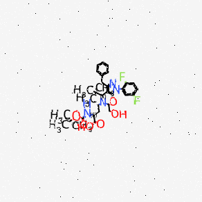 CC(C)(C)OC(=O)N[C@@H](CCN(C(=O)CO)[C@@H](c1cn(-c2cc(F)ccc2F)nc1Cc1ccccc1)C(C)(C)C)C(=O)O